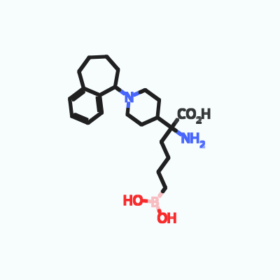 NC(CCCCB(O)O)(C(=O)O)C1CCN(C2CCCCc3ccccc32)CC1